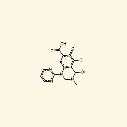 CN1CN(c2ncccn2)n2cc(C(=O)O)c(=O)c(O)c2C1O